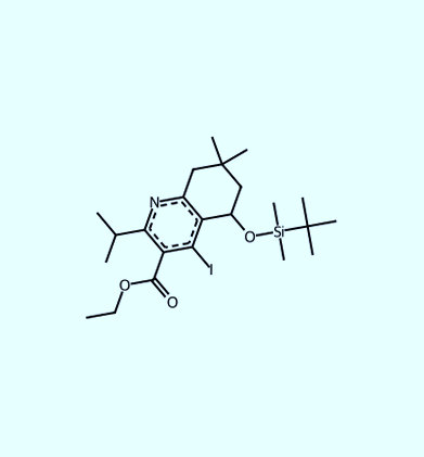 CCOC(=O)c1c(C(C)C)nc2c(c1I)C(O[Si](C)(C)C(C)(C)C)CC(C)(C)C2